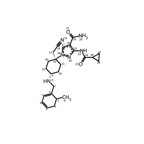 CC1CC=CC=C1CN[C@H]1CC[C@](CC#N)(n2cc(C(N)=O)c(NC(=O)C3CC3)n2)CC1